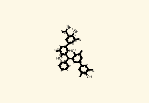 Cc1cc(-c2cc(C)c(O)c(C(c3ccccc3)c3cc(-c4cc(C)c(O)c(C(C)N)c4)cc(C)c3O)c2)cc(C)c1O